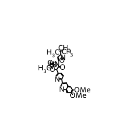 COc1cc2cc(-c3ccc(C(OS(C)(=O)=O)C(=O)Nc4cc(C(C)(C)C(F)(F)F)no4)cn3)cnc2cc1OC